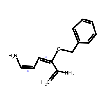 C=C(N)/C(=C\C=C/N)OCc1ccccc1